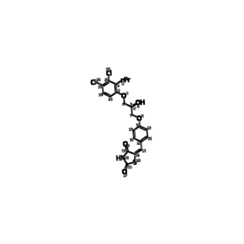 CCCc1c(OC[C@@H](O)COc2ccc(C=C3SC(=O)NC3=O)cc2)ccc(Cl)c1Cl